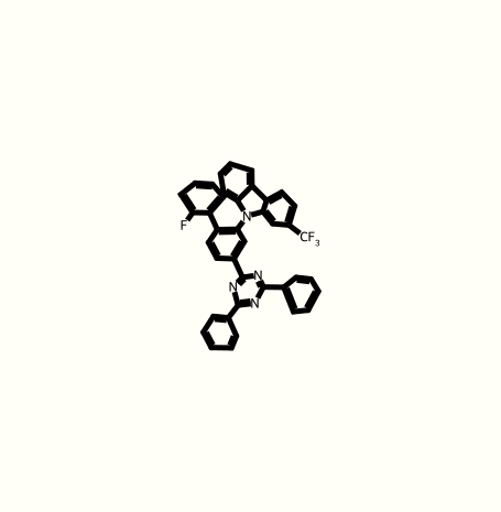 Fc1ccccc1-c1ccc(-c2nc(-c3ccccc3)nc(-c3ccccc3)n2)cc1-n1c2ccccc2c2ccc(C(F)(F)F)cc21